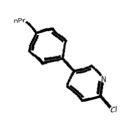 CCCc1ccc(-c2ccc(Cl)nc2)cc1